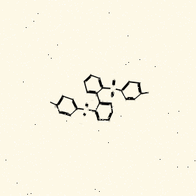 O=S(=O)(c1ccc(F)cc1)c1ccccc1-c1ccccc1S(=O)(=O)c1ccc(F)cc1